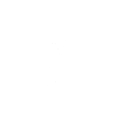 CC(C)(C)OC(Cc1ccc(-c2ccccc2O)cc1)(C(=O)O)C(=O)O